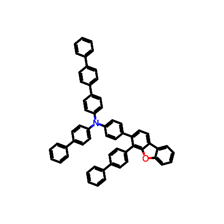 c1ccc(-c2ccc(-c3ccc(N(c4ccc(-c5ccccc5)cc4)c4ccc(-c5ccc6c(oc7ccccc76)c5-c5ccc(-c6ccccc6)cc5)cc4)cc3)cc2)cc1